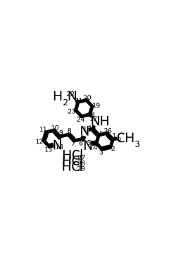 Cc1ccc2nc(/C=C/c3ccccn3)nc(NC3CCC(N)CC3)c2c1.Cl.Cl.Cl